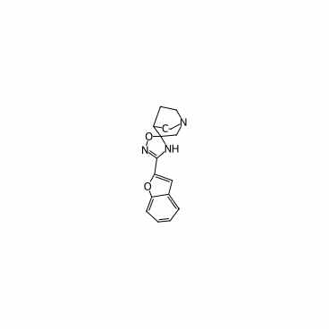 c1ccc2oc(C3=NOC4(CN5CCC4CC5)N3)cc2c1